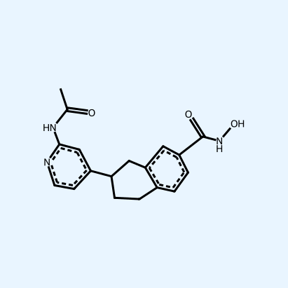 CC(=O)Nc1cc(C2CCc3ccc(C(=O)NO)cc3C2)ccn1